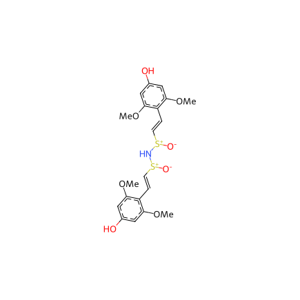 COc1cc(O)cc(OC)c1/C=C/[S+]([O-])N[S+]([O-])/C=C/c1c(OC)cc(O)cc1OC